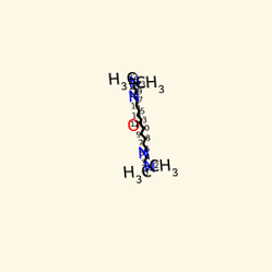 CN(C)CCN=CCCCCC(=O)CCCCC=NCCN(C)C